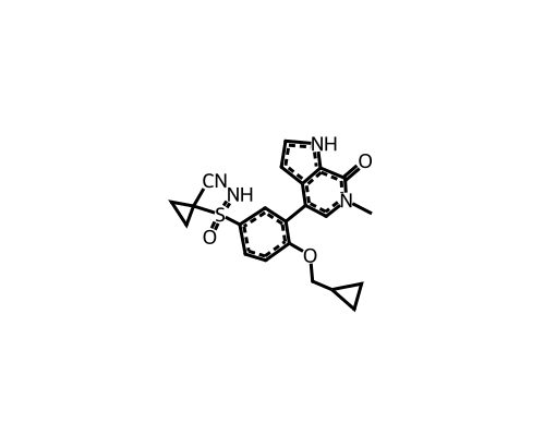 Cn1cc(-c2cc(S(=N)(=O)C3(C#N)CC3)ccc2OCC2CC2)c2cc[nH]c2c1=O